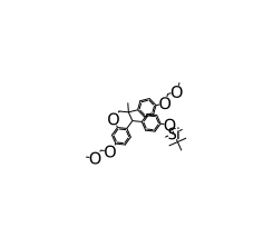 COCOc1ccc(C2(C)COc3cc(OCOC)ccc3C2c2ccc(O[Si](C)(C)C(C)(C)C)cc2)cc1